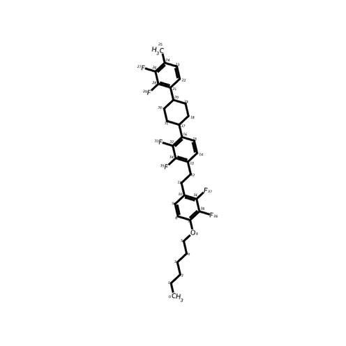 CCCCCCOc1ccc(CCc2ccc(C3CCC(c4ccc(C)c(F)c4F)CC3)c(F)c2F)c(F)c1F